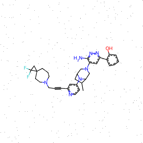 CC1CC2CN(c3cc(-c4ccccc4O)nnc3N)CC1N2c1ccnc(C#CCN2CCCC3(CC2)CC3(F)F)c1